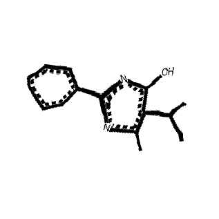 Cc1nc(-c2ccccc2)nc(O)c1C(C)C